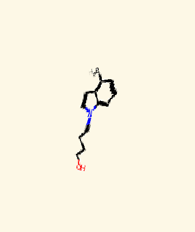 Bc1cccc2c1ccn2CCCCO